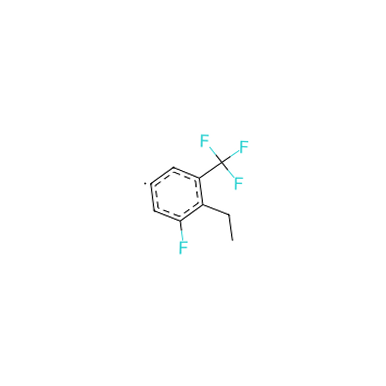 CCc1c(F)c[c]cc1C(F)(F)F